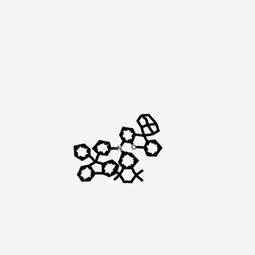 CC1(C)CCC(C)(C)c2cc(N(c3cccc(C4(c5ccccc5)c5ccccc5-c5ccccc54)c3)c3cccc4c3Oc3ccccc3C43C4CC5CC6CC3C64C5)ccc21